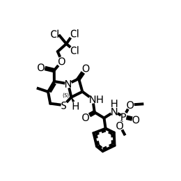 COP(=O)(NC(C(=O)NC1C(=O)N2C(C(=O)OCC(Cl)(Cl)Cl)=C(C)CS[C@@H]12)c1ccccc1)OC